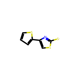 [S]c1nc(-c2cccs2)cs1